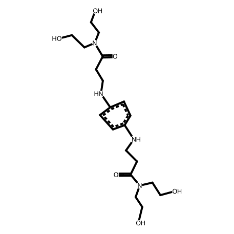 O=C(CCNc1ccc(NCCC(=O)N(CCO)CCO)cc1)N(CCO)CCO